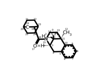 CC1(C)[C@H]2Cc3ccccc3[C@]1(C)CCN2C(=O)C1CC2CCC1CC2